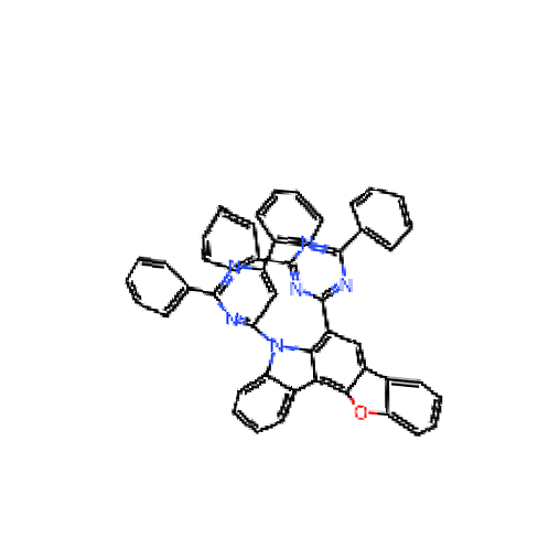 c1ccc(-c2cc(-n3c4ccccc4c4c5oc6ccccc6c5cc(-c5nc(-c6ccccc6)nc(-c6ccccc6)n5)c43)nc(-c3ccccc3)n2)cc1